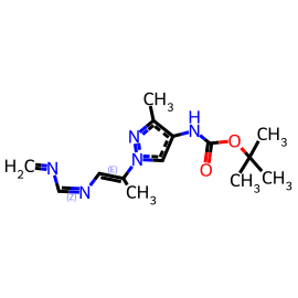 C=N/C=N\C=C(/C)n1cc(NC(=O)OC(C)(C)C)c(C)n1